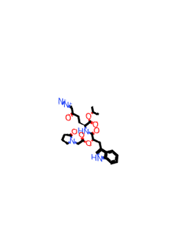 CC(C)OC(=O)[C@H](CCC(=O)C=[N+]=[N-])NC(=O)C(Cc1c[nH]c2ccccc12)OC(=O)CN1CCCC1=O